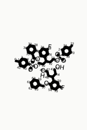 Cc1ccc(S(=O)(=O)OCCC(CCOS(=O)(=O)c2ccc(C)cc2)c2cc(F)ccc2OCc2ccccc2)cc1.OCCC(CCO)c1cc(F)ccc1OCc1ccccc1